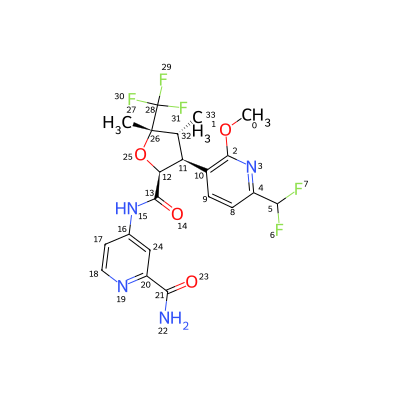 COc1nc(C(F)F)ccc1[C@H]1[C@@H](C(=O)Nc2ccnc(C(N)=O)c2)O[C@](C)(C(F)(F)F)[C@@H]1C